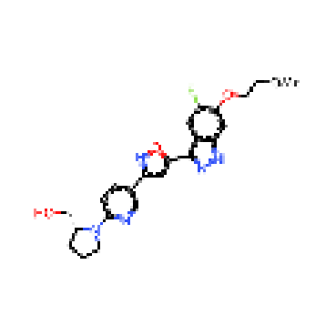 COCCOc1cc2[nH]nc(-c3cc(-c4ccc(N5CCC[C@@H]5CO)nc4)no3)c2cc1F